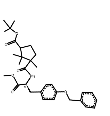 COC(=O)[C@H](Cc1ccc(OCc2ccccc2)cc1)NC(=O)C1(C)CCC(C(=O)OC(C)(C)C)C1(C)C